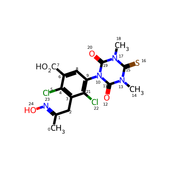 CC(Cc1c(Cl)c(C(=O)O)cc(-n2c(=O)n(C)c(=S)n(C)c2=O)c1Cl)=NO